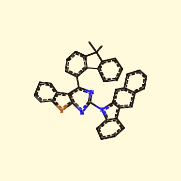 CC1(C)c2ccccc2-c2c(-c3nc(-n4c5ccccc5c5cc6ccccc6cc54)nc4sc5ccccc5c34)cccc21